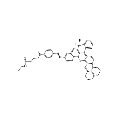 CCOC(=O)CCCN(C)c1ccc(/N=N/c2ccc3c4c(ccc3c2)C(c2ccccc2C(F)(F)F)=c2ccc3c5c6c(cc3c2O4)CCC[N+]=6CCC5)cc1